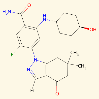 CCc1nn(-c2cc(N[C@H]3CC[C@H](O)CC3)c(C(N)=O)cc2F)c2c1C(=O)CC(C)(C)C2